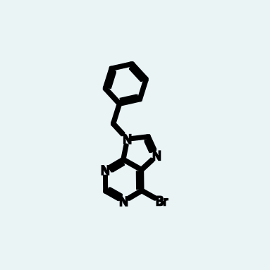 Brc1ncnc2c1ncn2Cc1ccccc1